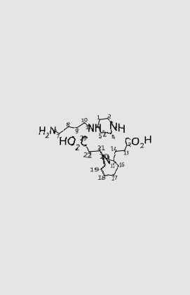 C1CCNCC1.NCCCCN.O=C(O)CCC1CCCCN1CCC(=O)O